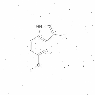 COc1ccc2[nH]cc(F)c2n1